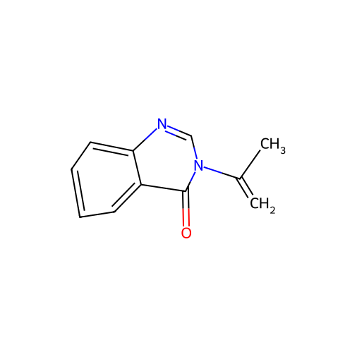 C=C(C)n1cnc2ccccc2c1=O